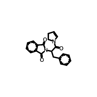 O=C(C(Cc1ccccc1)N1C(=O)c2ccccc2C1=O)N1C=CCC1